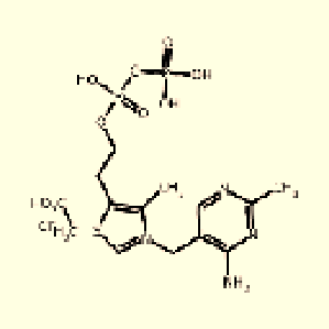 CC(=O)O.Cc1ncc(C[n+]2csc(CCOP(=O)(O)OP(=O)(O)O)c2C)c(N)n1.[Cl-]